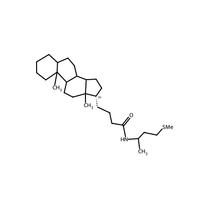 CSCCC(C)NC(=O)CCC[C@H]1CCC2C3CCC4CCCCC4(C)C3CCC21C